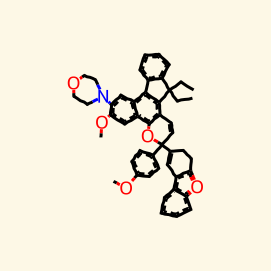 CCC1(CC)c2ccccc2-c2c1c1c(c3cc(OC)c(N4CCOCC4)cc23)OC(C2=Cc3c(oc4ccccc34)CC2)(c2ccc(OC)cc2)C=C1